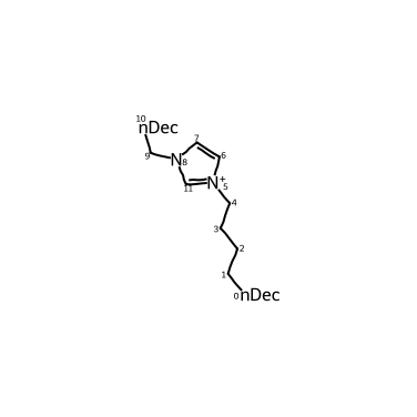 CCCCCCCCCCCCCC[n+]1ccn(CCCCCCCCCCC)c1